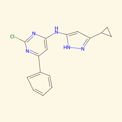 Clc1nc(Nc2cc(C3CC3)n[nH]2)cc(-c2ccccc2)n1